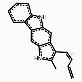 C=C/C=C\c1c(C)[nH]c2cc3c(cc12)[nH]c1ccccc13